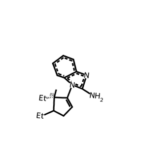 CCC1CC=C(n2c(N)nc3ccccc32)[C@@]1(C)CC